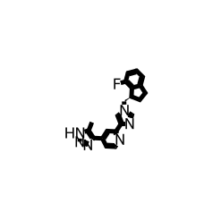 Cc1[nH]nnc1-c1ccnc(-c2cn(C[C@H]3CCc4cccc(F)c43)cn2)c1